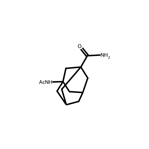 CC(=O)NC12CC3[CH]C(C(N)=O)(CC(C3)C1)C2